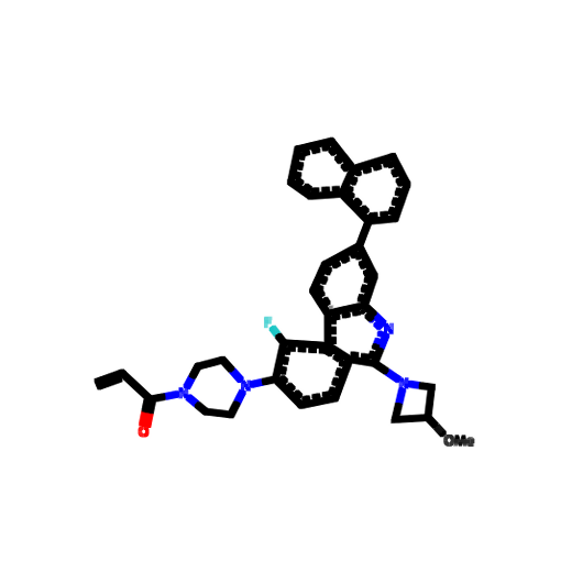 C=CC(=O)N1CCN(c2ccc3c(N4CC(OC)C4)nc4cc(-c5cccc6ccccc56)ccc4c3c2F)CC1